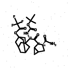 CC(C)(C)OC(=O)N[C@H](C(=O)N1C2CC2C[C@H]1C(N)=O)C12CC3CC(CC(OC(=O)C(F)(F)F)(C3)C1)C2